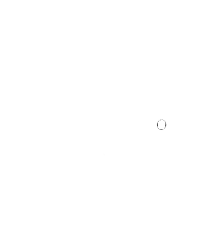 C=C.c1ccc2occc2c1